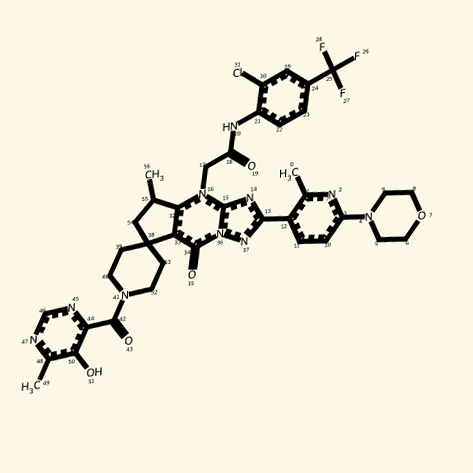 Cc1nc(N2CCOCC2)ccc1-c1nc2n(CC(=O)Nc3ccc(C(F)(F)F)cc3Cl)c3c(c(=O)n2n1)C1(CCN(C(=O)c2ncnc(C)c2O)CC1)CC3C